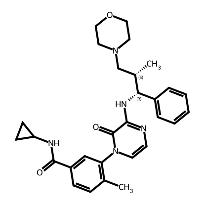 Cc1ccc(C(=O)NC2CC2)cc1-n1ccnc(N[C@@H](c2ccccc2)[C@@H](C)CN2CCOCC2)c1=O